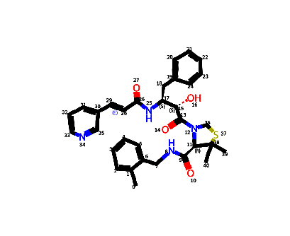 Cc1ccccc1CNC(=O)[C@H]1N(C(=O)[C@@H](O)[C@H](Cc2ccccc2)NC(=O)/C=C/c2cccnc2)CSC1(C)C